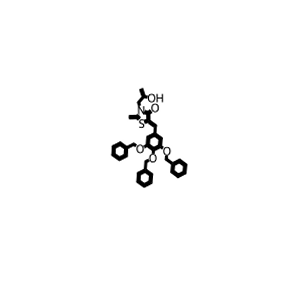 C=C(O)Cn1c(=C)s/c(=C\c2cc(OCc3ccccc3)c(OCc3ccccc3)c(OCc3ccccc3)c2)c1=O